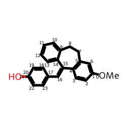 COc1ccc2c(c1)CCc1ccccc1C2=Cc1ccc(O)cc1